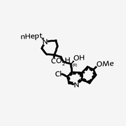 CCCCCCCN1CCC(CC[C@@H](O)c2c(Cl)cnc3ccc(OC)cc23)(C(=O)O)CC1